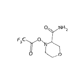 NC(=O)C1COCCN1OC(=O)C(F)(F)F